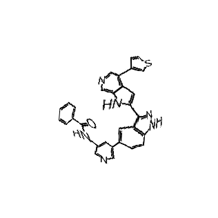 O=C(Nc1cncc(-c2ccc3[nH]nc(-c4cc5c(-c6ccsc6)cncc5[nH]4)c3c2)c1)c1ccccc1